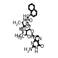 CCOC(=O)[C@H](C)NP(=O)(OC[C@@H](OCn1cnc2c(=O)[nH]c(N)nc21)C(O)C(C)O)Oc1cccc2ccccc12